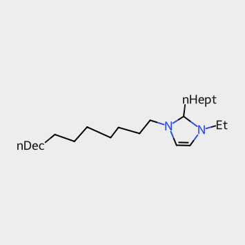 CCCCCCCCCCCCCCCCCN1C=CN(CC)C1CCCCCCC